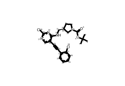 CC(C)(C)OC(=O)N1CC[C@H](CNc2nc(Cl)ncc2C#Cc2ccccc2Cl)C1